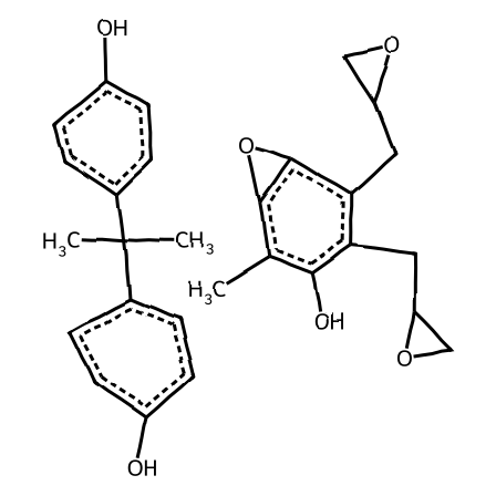 CC(C)(c1ccc(O)cc1)c1ccc(O)cc1.Cc1c(O)c(CC2CO2)c(CC2CO2)c2c1O2